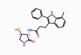 Cc1cccc2c(CCC(=O)N[C@@H]3C(=O)NC[C@H]3O)c(-c3ccccc3)[nH]c12